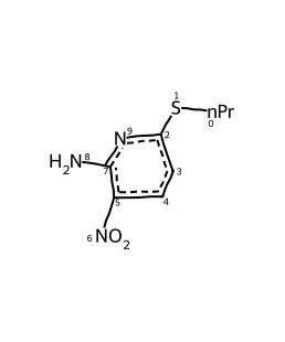 CCCSc1ccc([N+](=O)[O-])c(N)n1